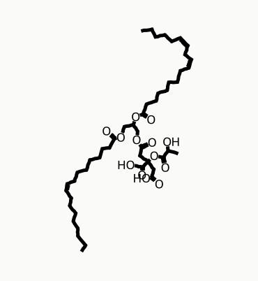 CCCCC/C=C\C/C=C\CCCCCCCC(=O)OC(COC(=O)CCCCCCC/C=C\CCCCCCCC)COC(=O)CC(CC(=O)O)(OC(=O)C(C)O)C(=O)O